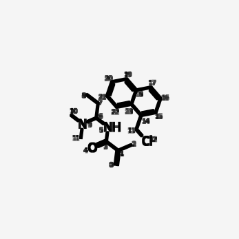 C=C(C)C(=O)NC(CC)N(C)C.ClCc1cccc2ccccc12